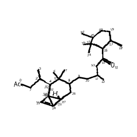 CC(=O)CC(C)[C@H]1C(C)(C)C(CCC(C)CC(=O)C2C(C)CCC(C)C2(C)C)C[C@@H]2C3=C[C@]321